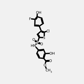 COC(=O)c1ccc(NS(=O)(=O)c2cc(-c3ccc(O)c(F)c3)c(Cl)s2)cc1O